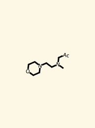 CC(=O)CN(C)CCN1CCOCC1